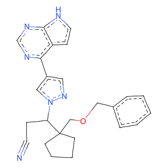 N#CCC(n1cc(-c2ncnc3[nH]ccc23)cn1)C1(COCc2ccccc2)CCCC1